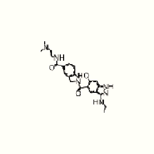 CCNc1n[nH]c2cc(O)c(C(=O)N3Cc4ccc(C(=O)NCCN(C)C)cc4C3)cc12